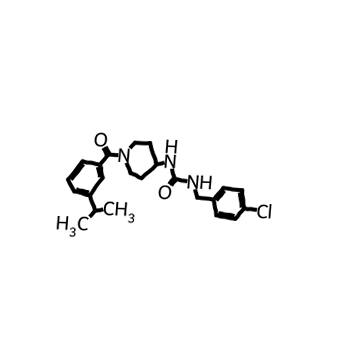 CC(C)c1cccc(C(=O)N2CCC(NC(=O)NCc3ccc(Cl)cc3)CC2)c1